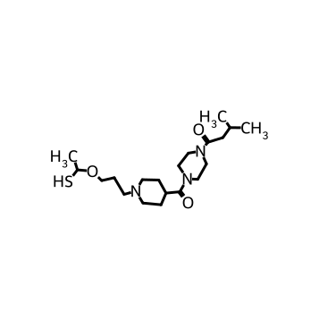 CC(C)CC(=O)N1CCN(C(=O)C2CCN(CCCOC(C)S)CC2)CC1